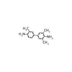 Cc1cc(-c2cc(C)c(N)c(C)c2)ccc1N